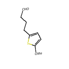 COc1ccc(CCCC=O)s1